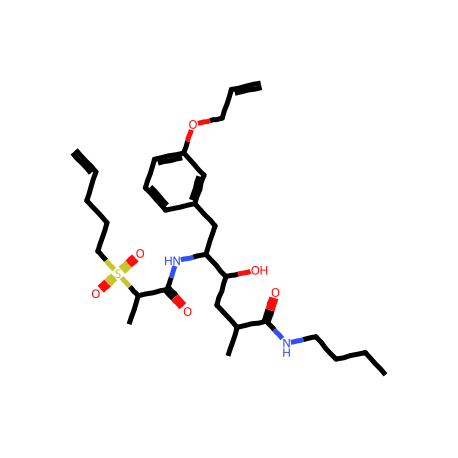 C=CCCCS(=O)(=O)C(C)C(=O)NC(Cc1cccc(OCC=C)c1)C(O)CC(C)C(=O)NCCCC